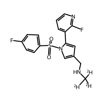 [2H]C([2H])([2H])NCc1cc(-c2cccnc2F)n(S(=O)(=O)c2ccc(F)cc2)c1